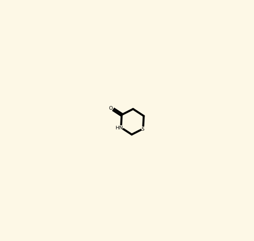 O=C1CCSCN1